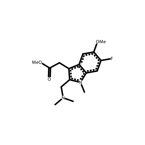 COC(=O)Cc1c(CN(C)C)n(C)c2cc(F)c(OC)cc12